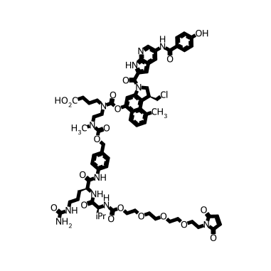 Cc1cccc2c(OC(=O)N(CCCC(=O)O)CCN(C)C(=O)OCc3ccc(NC(=O)[C@H](CCCNC(N)=O)NC(=O)[C@@H](NC(=O)OCCOCCOCCOCCN4C(=O)C=CC4=O)C(C)C)cc3)cc3c(c12)[C@H](CCl)CN3C(=O)c1cc2cc(NC(=O)c3ccc(O)cc3)cnc2[nH]1